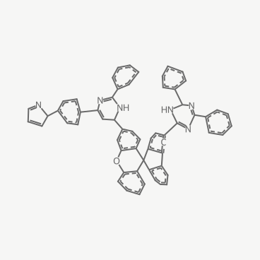 C1=CC(c2ccc(C3=CC(c4ccc5c(c4)Oc4ccccc4C54c5ccccc5-c5cc(C6=NC(c7ccccc7)=NC(c7ccccc7)N6)ccc54)NC(c4ccccc4)=N3)cc2)N=C1